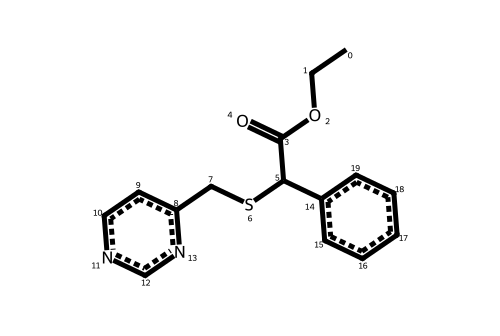 CCOC(=O)C(SCc1ccncn1)c1ccccc1